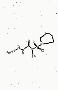 CCCCCNNC(=O)N(CC)S(=O)(=O)N1CCCCC1